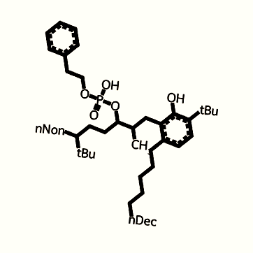 CCCCCCCCCCCCCCCc1ccc(C(C)(C)C)c(O)c1CC(C)C(CCC(CCCCCCCCC)C(C)(C)C)OP(=O)(O)OCCc1ccccc1